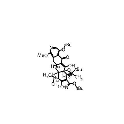 CCCCOc1cnc(OC)c2c1C(=O)C1=C(O)[C@]3(O[Si](C)(C)C(C)(C)C)C(=O)c4c(OCCCC)noc4[C@@H](N(C)C)[C@@H]3C[C@@H]1C2